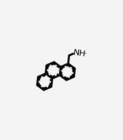 [NH]Cc1cccc2c1ccc1ccccc12